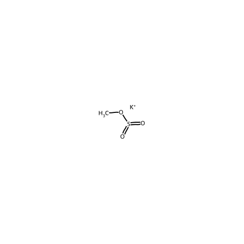 CO[S-](=O)=O.[K+]